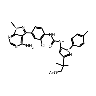 CC(=O)OCC(C)(C)c1cc(NC(=O)Nc2ccc(-c3nn(C)c4ncnc(N)c34)cc2Cl)n(-c2ccc(C)cc2)n1